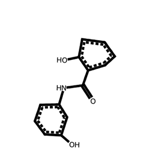 O=C(Nc1cccc(O)c1)c1ccccc1O